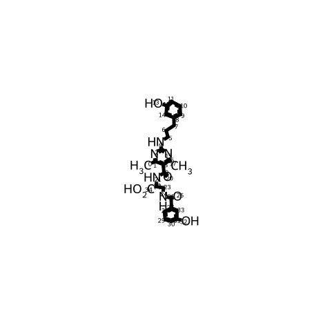 Cc1nc(NCCCc2cccc(O)c2)nc(C)c1C(=O)N[C@@H](CNC(=O)c1cccc(O)c1)C(=O)O